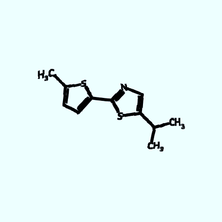 Cc1ccc(-c2ncc(C(C)C)s2)s1